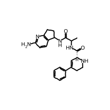 CC(NC(=O)[C@H]1C=C(c2ccccc2)CCN1)C(=O)NC1CCc2nc(N)ccc21